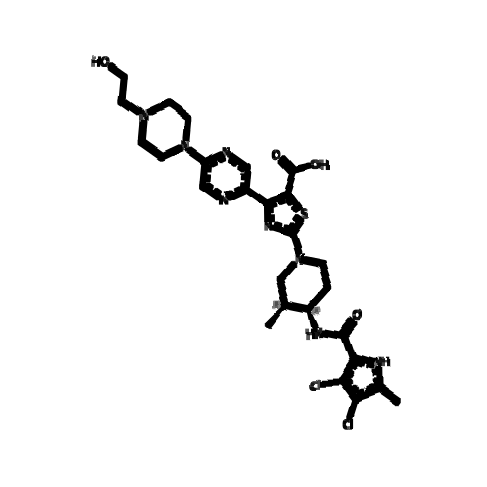 Cc1[nH]c(C(=O)N[C@@H]2CCN(c3nc(-c4cnc(N5CCN(CCO)CC5)cn4)c(C(=O)O)s3)C[C@@H]2C)c(Cl)c1Cl